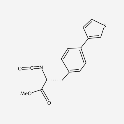 COC(=O)[C@@H](Cc1ccc(-c2ccsc2)cc1)N=C=O